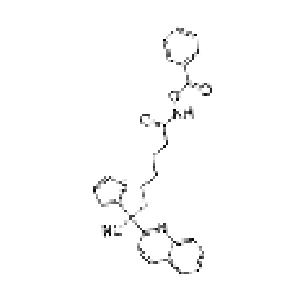 N#CC(CCCCCC(=O)NOC(=O)c1ccccc1)(c1ccc2ccccc2n1)c1cccs1